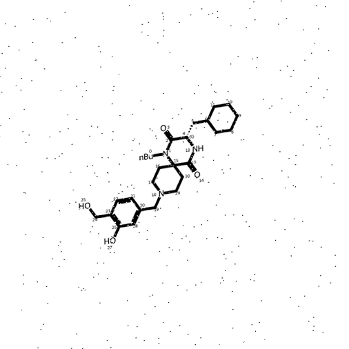 CCCCN1C(=O)[C@H](CC2CCCCC2)NC(=O)C12CCN(Cc1ccc(CO)c(O)c1)CC2